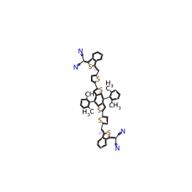 Cc1cccc(C)c1-c1c2cc(-c3ccc(/C=c4\sc(=C(C#N)C#N)c5ccccc45)s3)sc2c(-c2c(C)cccc2C)c2cc(-c3ccc(/C=c4\sc(=C(C#N)C#N)c5ccccc45)s3)sc12